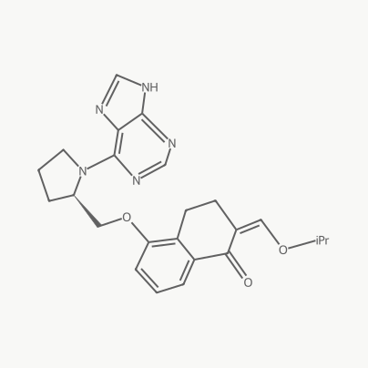 CC(C)O/C=C1/CCc2c(OC[C@H]3CCCN3c3ncnc4[nH]cnc34)cccc2C1=O